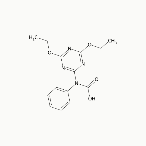 CCOc1nc(OCC)nc(N(C(=O)O)c2ccccc2)n1